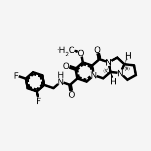 [CH2]Oc1c2n(cc(C(=O)NCc3ccc(F)cc3F)c1=O)C[C@@H]1N(C[C@H]3CCCN31)C2=O